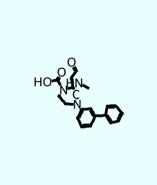 CNC1(CC=O)CN(c2cccc(-c3ccccc3)c2)CCN1C(=O)O